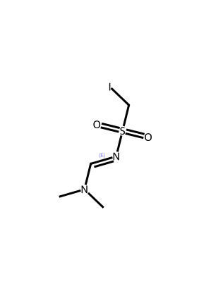 CN(C)/C=N/S(=O)(=O)CI